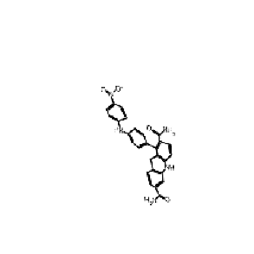 NC(=O)c1ccc2c(c1)Nc1ccc(C(N)=O)c(-c3ccc(Nc4ccc([N+](=O)[O-])cc4)cc3)c1C2